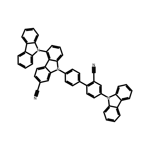 N#Cc1ccc2c3c(-n4c5ccccc5c5ccccc54)cccc3n(-c3ccc(-c4ccc(-n5c6ccccc6c6ccccc65)cc4C#N)cc3)c2c1